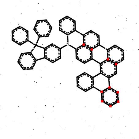 c1ccc(-c2ccc(-c3ccccc3N(c3ccc(-c4cccc(-c5ccccc5)c4-c4ccccc4-c4ccccc4)cc3)c3ccc4c(c3)C(c3ccccc3)(c3ccccc3)c3ccccc3-4)cc2)cc1